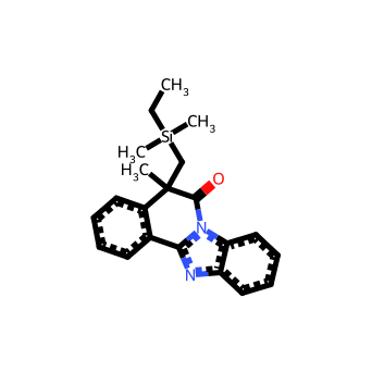 CC[Si](C)(C)CC1(C)C(=O)n2c(nc3ccccc32)-c2ccccc21